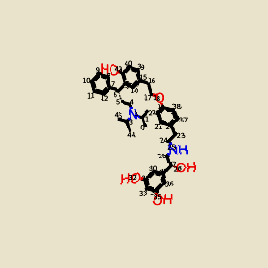 CC(C)N(CC[C@H](c1ccccc1)c1cc(CCOc2ccc(CCNC[C@H](O)c3cc(O)cc(O)c3)cc2)ccc1O)C(C)C